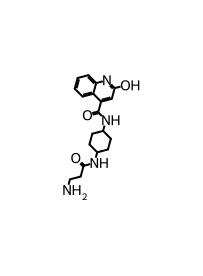 NCCC(=O)NC1CCC(NC(=O)c2cc(O)nc3ccccc23)CC1